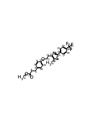 COC(=O)CCc1ccc(OCCc2nc(-c3ccc(C(F)(F)F)cc3)sc2C)cc1